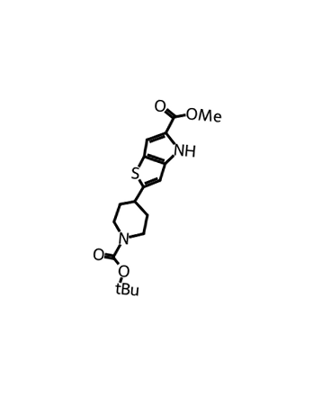 COC(=O)c1cc2sc(C3CCN(C(=O)OC(C)(C)C)CC3)cc2[nH]1